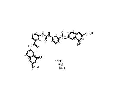 O=C(Nc1cccc(C(=O)Nc2ccc3cc(S(=O)(=O)O)cc(O)c3c2)c1)Nc1cccc(C(=O)Nc2ccc3cc(S(=O)(=O)O)cc(O)c3c2)c1.[NaH].[NaH].[NaH].[NaH]